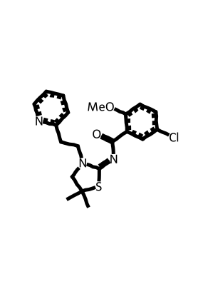 COc1ccc(Cl)cc1C(=O)N=C1SC(C)(C)CN1CCc1ccccn1